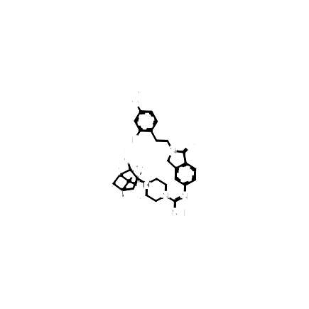 COc1ccc(CCN2Cc3cc(N=C(N)N4CCN([C@H]5C[C@@H]6C[C@@H]([C@H]5C)C6(C)C)[C@@H](C)C4)ccc3C2=O)c(F)c1